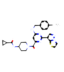 COc1ccc([C@@H](C)Nc2cc(C(=O)N3CCC(NC(=O)C4CC4)CC3)nc(-c3cnn4ccsc34)n2)cc1